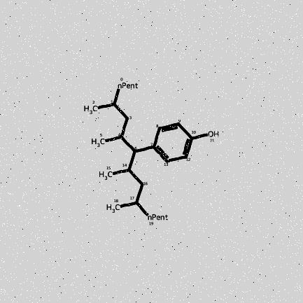 CCCCCC(C)CC(C)C(c1ccc(O)cc1)C(C)CC(C)CCCCC